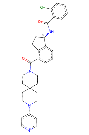 O=C(N[C@@H]1CCc2c(C(=O)N3CCC4(CC3)CCN(c3ccncc3)CC4)cccc21)c1ccccc1Cl